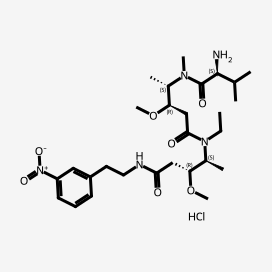 CCN(C(=O)C[C@@H](OC)[C@H](C)N(C)C(=O)[C@@H](N)C(C)C)[C@@H](C)[C@@H](CC(=O)NCCc1cccc([N+](=O)[O-])c1)OC.Cl